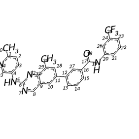 Cc1ccc(Nc2ncc3cc(-c4cccc(C(=O)Nc5cccc(C(F)(F)F)c5)c4)cc(C)c3n2)cn1